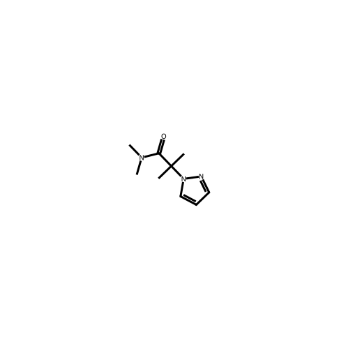 CN(C)C(=O)C(C)(C)n1cccn1